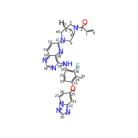 C=CC(=O)N1C[C@@H]2CC1CN(c1ccc3ncnc(Nc4ccc(Oc5ccn6ncnc6c5)c(C)c4F)c3n1)C2